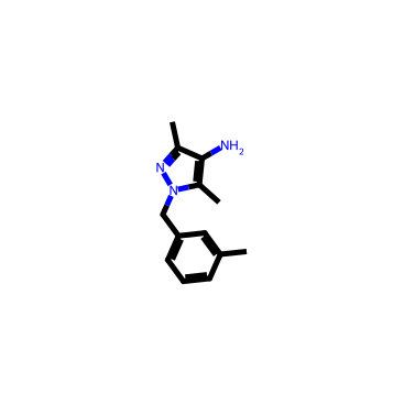 Cc1cccc(Cn2nc(C)c(N)c2C)c1